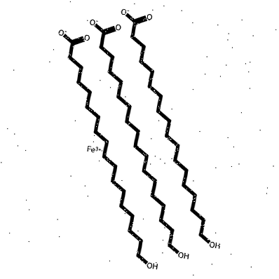 O=C([O-])CCCCCCCCCCCCCCCCCO.O=C([O-])CCCCCCCCCCCCCCCCCO.O=C([O-])CCCCCCCCCCCCCCCCCO.[Fe+3]